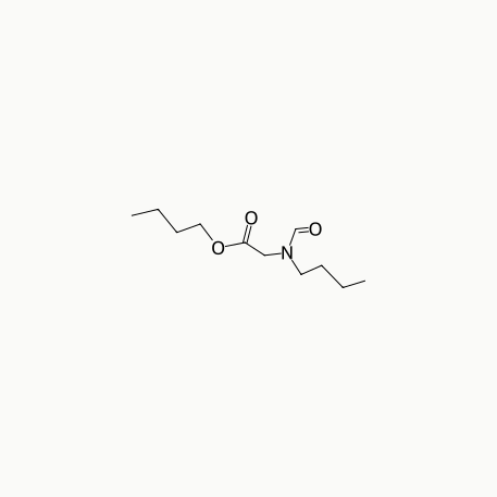 CCCCOC(=O)CN(C=O)CCCC